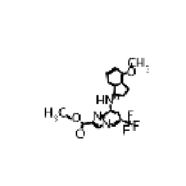 CCOC(=O)c1cn2cc(C(F)(F)F)cc(N[C@@H]3CCc4c(OC)cccc43)c2n1